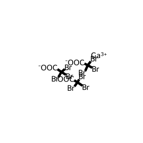 O=C([O-])C(Br)(Br)Br.O=C([O-])C(Br)(Br)Br.O=C([O-])C(Br)(Br)Br.[Ga+3]